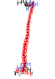 C[C@H]1[C@H](O)[C@@H](NC(=O)CCC(=O)NCCOCCOCCOCCOCCOCCOCCOCCOCCOCCOCCOCCOCCOCCOCCOCCOCCOCCOCCOCCOCCOCCOCCOCCOCCC(=O)NCCC2(C(=O)N[C@@H](Cc3ccc(NC(=O)c4c(Cl)cccc4Cl)cc3)C(=O)O)CCCC2)[C@H](C)O[C@@H]1CO